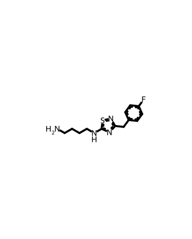 NCCCCNc1nc(Cc2ccc(F)cc2)ns1